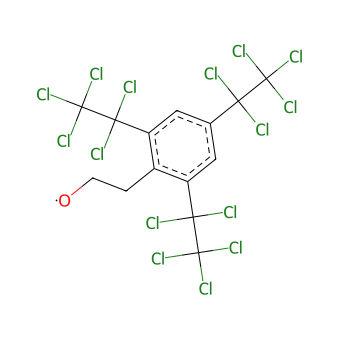 [O]CCc1c(C(Cl)(Cl)C(Cl)(Cl)Cl)cc(C(Cl)(Cl)C(Cl)(Cl)Cl)cc1C(Cl)(Cl)C(Cl)(Cl)Cl